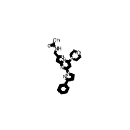 O=C(O)NCc1cc2nc(-n3ccc(-c4ccccc4)n3)cc(N3CCOCC3)n2n1